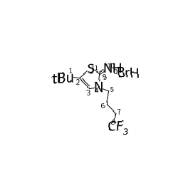 Br.CC(C)(C)c1cn(CCCC(F)(F)F)c(=N)s1